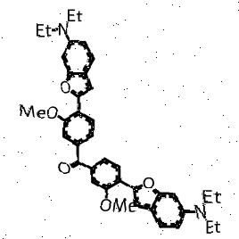 CCN(CC)c1ccc2cc(-c3ccc(C(=O)c4ccc(-c5cc6ccc(N(CC)CC)cc6o5)c(OC)c4)cc3OC)oc2c1